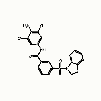 Nc1c(Cl)cc(NC(=O)c2cccc(S(=O)(=O)N3CCc4ccccc43)c2)cc1Cl